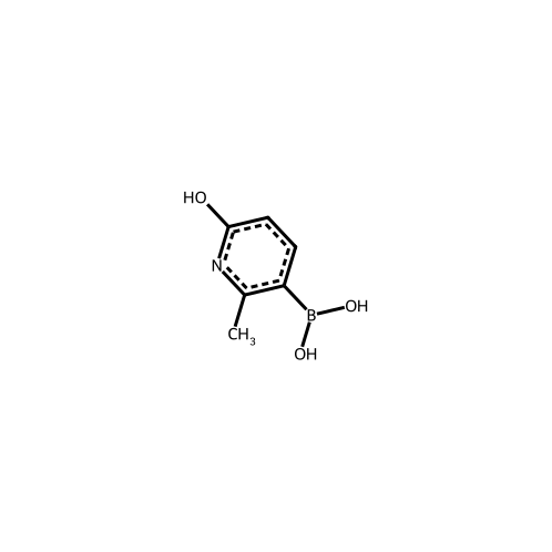 Cc1nc(O)ccc1B(O)O